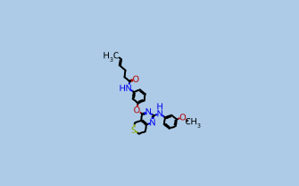 C/C=C/CCC(=O)Nc1cccc(Oc2nc(Nc3cccc(OC)c3)nc3c2CSCC3)c1